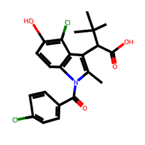 Cc1c(C(C(=O)O)C(C)(C)C)c2c(Cl)c(O)ccc2n1C(=O)c1ccc(Cl)cc1